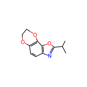 CC(C)c1nc2ccc3c(c2o1)OCCO3